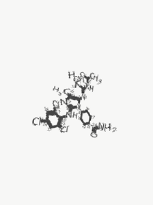 C=N/C(=N\c1c(C)nc(Nc2c(Cl)cc(Cl)cc2Cl)n1[C@H]1CC[C@@H](C(N)=O)CC1)NC(C)C